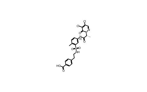 Cc1ccc(NC(=O)[C@@H](C)n2ncc(Cl)c(Cl)c2=O)cc1S(=O)(=O)NCCc1ccc(C(=O)O)cc1